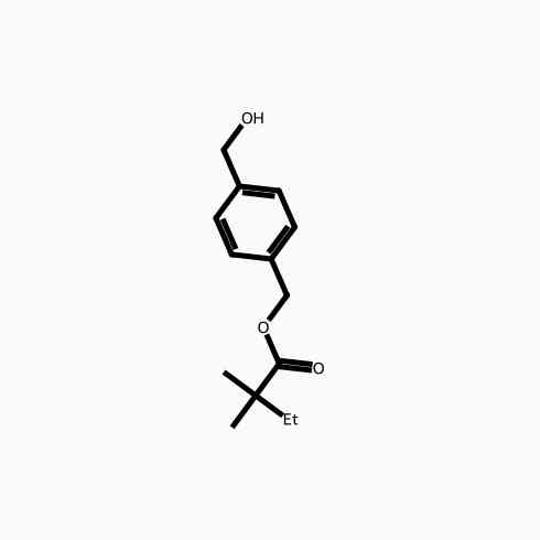 CCC(C)(C)C(=O)OCc1ccc(CO)cc1